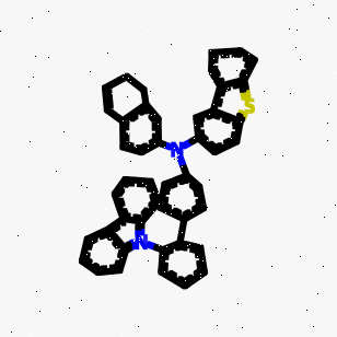 C1=Cc2ccc(N(c3ccc(-c4ccccc4-n4c5ccccc5c5ccccc54)cc3)c3ccc4sc5ccccc5c4c3)cc2CC1